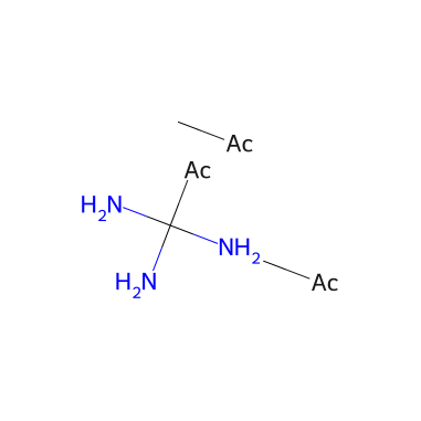 CC(=O)C(N)(N)N.CC(C)=O.CC(C)=O